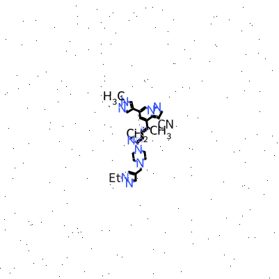 C=N/C(=C\C=C(/C)c1cc(-c2cnn(C)c2)cn2ncc(C#N)c12)N1CCN(Cc2cnn(CC)c2)CC1